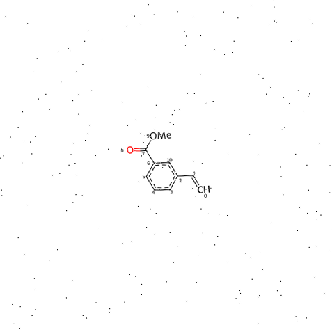 [CH]=Cc1cccc(C(=O)OC)c1